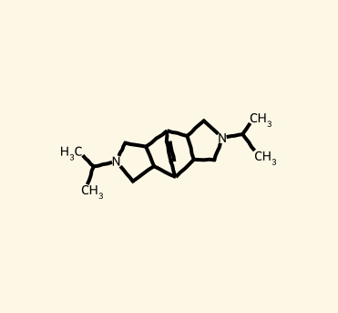 CC(C)N1CC2C3C=CC(C2C1)C1CN(C(C)C)CC31